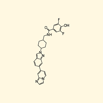 O=C(NCC1CCC(n2cc3ccc(-c4ccn5ccnc5c4)cc3n2)CC1)c1cc(F)c(O)c(F)c1